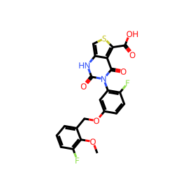 COc1c(F)cccc1COc1ccc(F)c(-n2c(=O)[nH]c3csc(C(=O)O)c3c2=O)c1